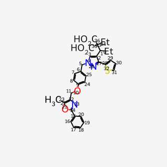 CCC(c1cn(Cc2ccc(OCc3nc(-c4ccccc4)oc3C)cc2)nc1-c1cccs1)C(CC)(C(=O)O)C(=O)O